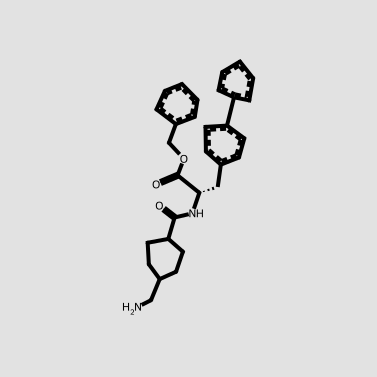 NCC1CCC(C(=O)N[C@@H](Cc2ccc(-c3ccccc3)cc2)C(=O)OCc2ccccc2)CC1